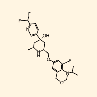 CC(C)N1COCc2cc(OC[C@@H]3C[C@](O)(c4ccc(C(F)F)nc4)C[C@H](C)N3)cc(F)c21